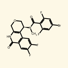 CN(C(=O)c1c(F)cc(Br)cc1F)[C@@H]1COCc2[nH]c(=O)c3cc(F)c(F)cc3c21